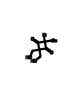 CCC1(C(C)(C)C)C(=O)C(CO)(CO)C1=O